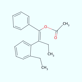 CCC(=C(OC(C)=O)c1ccccc1)c1ccccc1CC